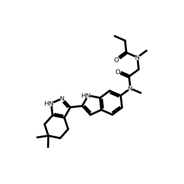 CCC(=O)N(C)CC(=O)N(C)c1ccc2cc(-c3n[nH]c4c3CCC(C)(C)C4)[nH]c2c1